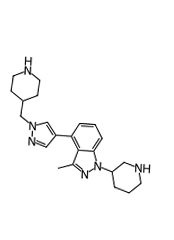 Cc1nn(C2CCCNC2)c2cccc(-c3cnn(CC4CCNCC4)c3)c12